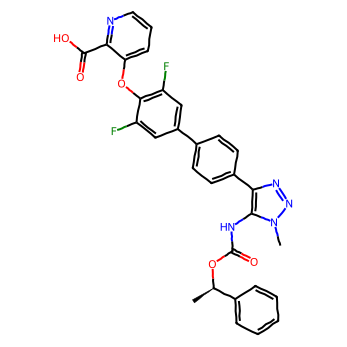 C[C@@H](OC(=O)Nc1c(-c2ccc(-c3cc(F)c(Oc4cccnc4C(=O)O)c(F)c3)cc2)nnn1C)c1ccccc1